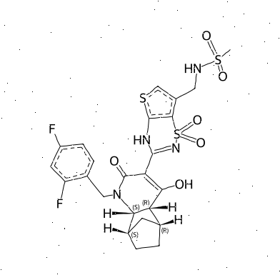 CS(=O)(=O)NCc1csc2c1S(=O)(=O)N=C(C1=C(O)[C@@H]3[C@@H]4CC[C@@H](C4)[C@@H]3N(Cc3ccc(F)cc3F)C1=O)N2